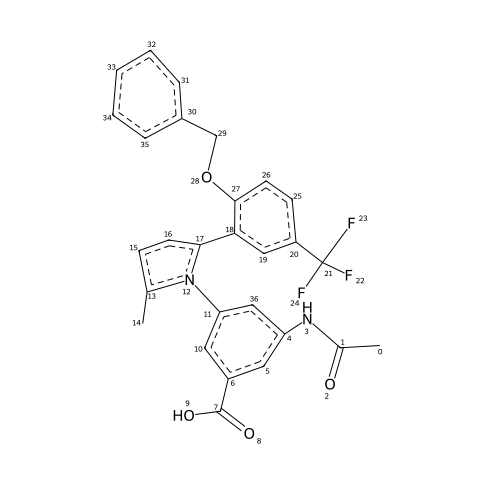 CC(=O)Nc1cc(C(=O)O)cc(-n2c(C)ccc2-c2cc(C(F)(F)F)ccc2OCc2ccccc2)c1